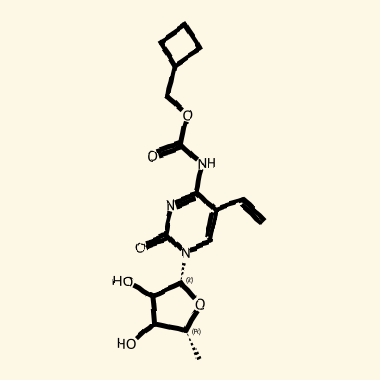 C=Cc1cn([C@@H]2O[C@H](C)C(O)C2O)c(=O)nc1NC(=O)OCC1CCC1